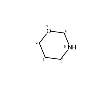 [C]1CCO[C]N1